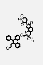 CN(CCOc1ccc(C(=C(CCCl)c2ccccc2)c2ccccc2)cc1)Cc1ccc2c(c1F)CN(C1CCC(=O)NC1=O)C2=O